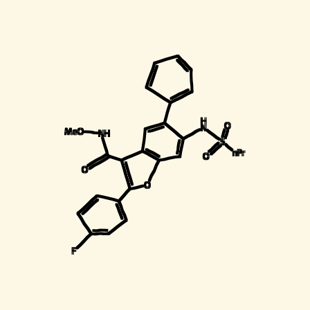 CCCS(=O)(=O)Nc1cc2oc(-c3ccc(F)cc3)c(C(=O)NOC)c2cc1-c1ccccc1